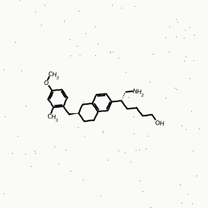 COc1ccc(C[C@@H]2CCc3cc([C@H](CN)CCCCO)ccc3C2)c(C)c1